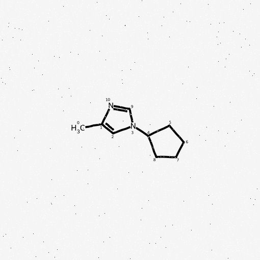 Cc1cn(C2CCCC2)cn1